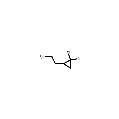 C[CH]CC1CC1(Cl)Cl